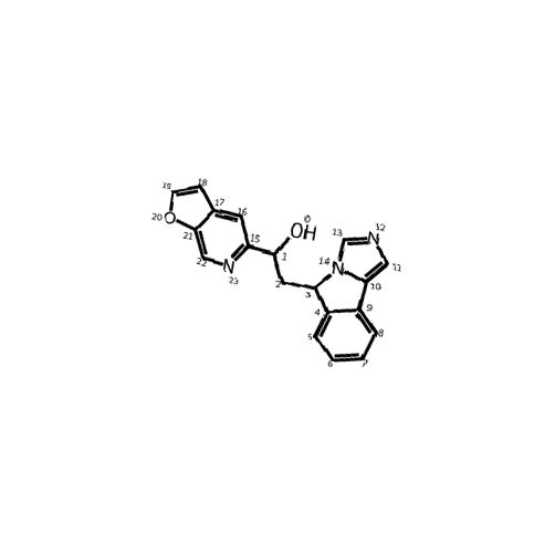 OC(CC1c2ccccc2-c2cncn21)c1cc2ccoc2cn1